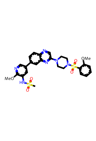 COc1ccccc1S(=O)(=O)N1CCN(c2cnc3ccc(-c4cnc(OC)c(NS(C)(=O)=O)c4)cc3n2)CC1